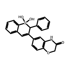 O=C1COc2ccc(C3=Cc4ccccc4S(O)(O)C3c3ccccc3)cc2N1